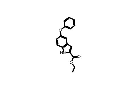 CCOC(=O)c1cc2cc(Oc3ccccc3)ccc2[nH]1